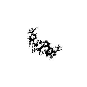 COc1nc(N[C@@H]2CCN(C3COC3)CC2(F)F)nn2ccc(-c3ccc4nnn([C@H](C)CF)c4c3)c12